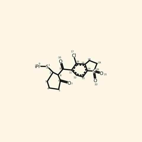 CC(C)SC1CCCC(=O)C1C(=O)c1ccc2c(c1Cl)CCS2(=O)=O